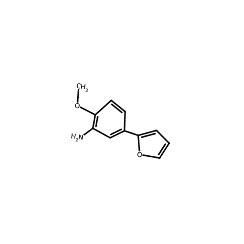 COc1ccc(-c2ccco2)cc1N